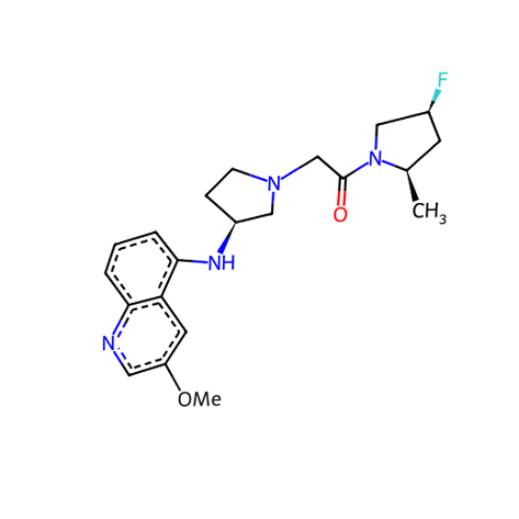 COc1cnc2cccc(N[C@H]3CCN(CC(=O)N4C[C@@H](F)C[C@H]4C)C3)c2c1